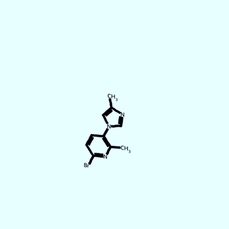 Cc1cn(-c2ccc(Br)nc2C)cn1